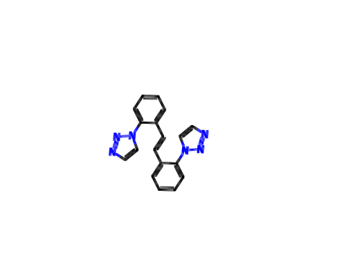 C(=C\c1ccccc1-n1ccnn1)/c1ccccc1-n1ccnn1